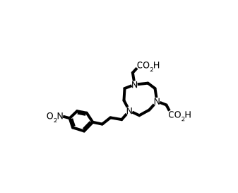 O=C(O)CN1CCN(CCCc2ccc([N+](=O)[O-])cc2)CCN(CC(=O)O)CC1